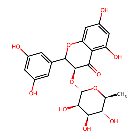 C[C@@H]1O[C@@H](O[C@@H]2C(=O)c3c(O)cc(O)cc3OC2c2cc(O)cc(O)c2)[C@H](O)[C@H](O)[C@H]1O